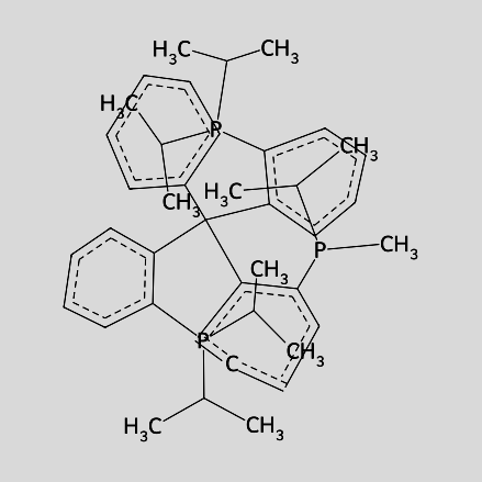 CC(C)P(C)c1ccccc1C(c1ccccc1)(c1ccccc1P(C(C)C)C(C)C)c1ccccc1P(C(C)C)C(C)C